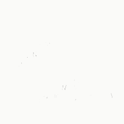 O=CN(c1ccc(N2C(=O)c3ccccc3C2=O)cc1)S(=O)(=O)c1ccc(Cl)s1